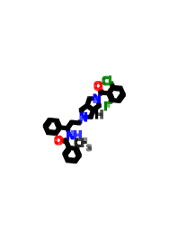 O=C(NC(CCN1CC2CN(C(=O)c3c(F)cccc3Cl)C[C@@H]2C1)c1ccccc1)c1ccccc1C(F)(F)F